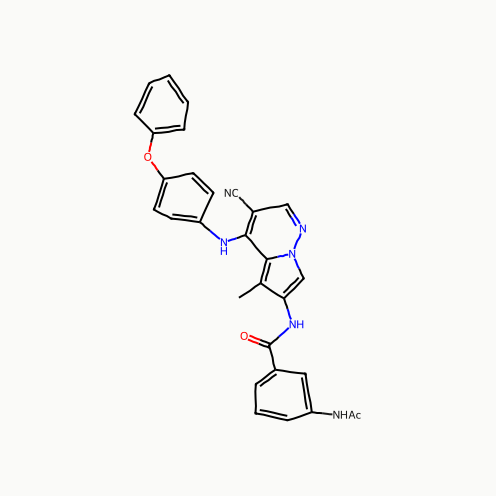 CC(=O)Nc1cccc(C(=O)Nc2cn3ncc(C#N)c(Nc4ccc(Oc5ccccc5)cc4)c3c2C)c1